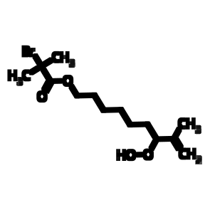 C=C(C)C(CCCCCCOC(=O)C(C)(C)Br)OO